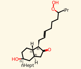 CCCCCCC[C@]1(O)CC[C@H]2[C@@H](CC(=O)[C@@H]2CC=CCCCC(OO)C(C)C)C1